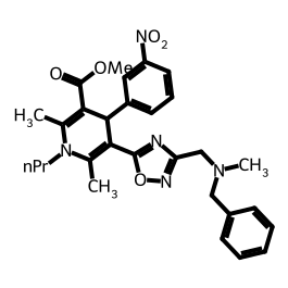 CCCN1C(C)=C(C(=O)OC)C(c2cccc([N+](=O)[O-])c2)C(c2nc(CN(C)Cc3ccccc3)no2)=C1C